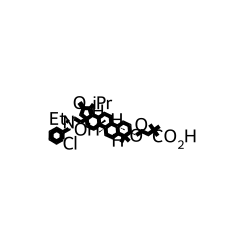 CCN(Cc1ccccc1Cl)CC(O)C12CC[C@]3(C)[C@H](CC[C@@H]4[C@@]5(C)CC[C@H](OC(=O)CC(C)(C)C(=O)O)C(C)(C)[C@@H]5CC[C@]43C)C1=C(C(C)C)C(=O)C2